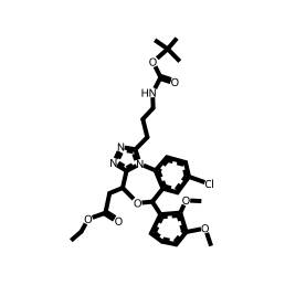 CCOC(=O)CC1OC(c2cccc(OC)c2OC)c2cc(Cl)ccc2-n2c(CCCNC(=O)OC(C)(C)C)nnc21